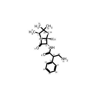 C[C@@H]1N2C(=O)[C@@H](NC(=O)C(CN)c3ccccc3)[C@H]2SC1(C)C